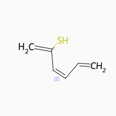 C=C/C=C\C(=C)S